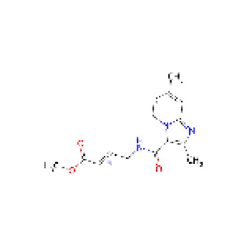 COC(=O)/C=C/CNC(=O)c1c(C)nc2cc(C)ccn12